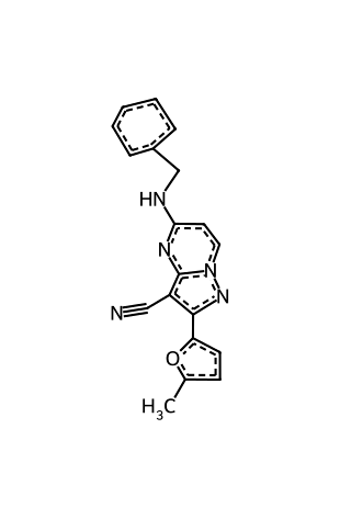 Cc1ccc(-c2nn3ccc(NCc4ccccc4)nc3c2C#N)o1